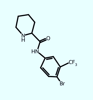 O=C(Nc1ccc(Br)c(C(F)(F)F)c1)C1CCCCN1